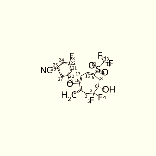 C=C1CC(F)(F)[C@@H](O)C/C(S(=O)(=O)C(F)F)=C\C=C/1Oc1cc(F)cc(C#N)c1